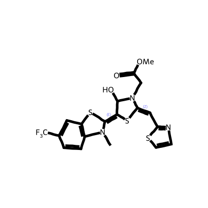 COC(=O)CN1/C(=C/c2nccs2)S/C(=C2/Sc3cc(C(F)(F)F)ccc3N2C)C1O